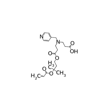 C=CC(=O)OC(C)(C)CCOC(=O)CCN(CCC(=O)O)Cc1ccncc1